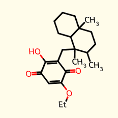 CCOC1=CC(=O)C(O)=C(CC2(C)C(C)CCC3(C)CCCCC32)C1=O